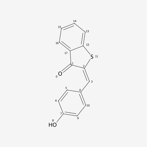 O=C1/C(=C\c2ccc(O)cc2)Sc2ccccc21